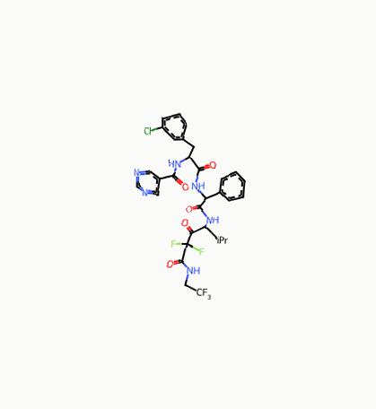 CC(C)C(NC(=O)C(NC(=O)C(Cc1cccc(Cl)c1)NC(=O)c1cncnc1)c1ccccc1)C(=O)C(F)(F)C(=O)NCC(F)(F)F